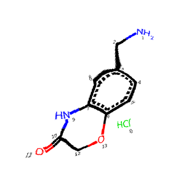 Cl.NCc1ccc2c(c1)NC(=O)CO2